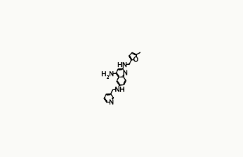 Cc1ccc(CNc2cc(N)c3cc(NCc4cccnc4)ccc3n2)o1